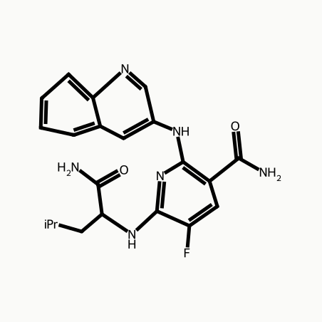 CC(C)CC(Nc1nc(Nc2cnc3ccccc3c2)c(C(N)=O)cc1F)C(N)=O